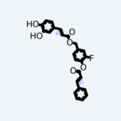 O=C(/C=C/c1ccc(O)c(O)c1)OCc1ccc(OC(=O)/C=C/c2ccccc2)c(F)c1